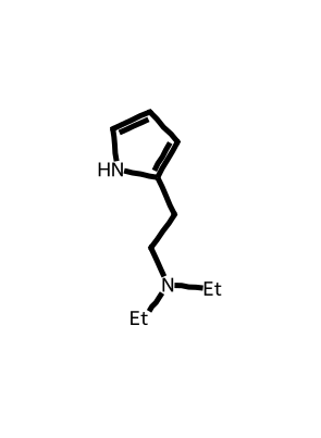 CCN(CC)CCc1ccc[nH]1